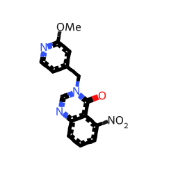 COc1cc(Cn2cnc3cccc([N+](=O)[O-])c3c2=O)ccn1